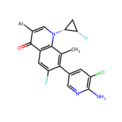 CC(=O)c1cn([C@@H]2C[C@@H]2F)c2c(C)c(-c3cnc(N)c(Cl)c3)c(F)cc2c1=O